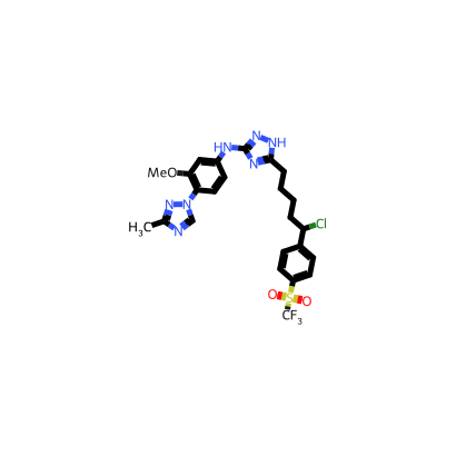 COc1cc(Nc2n[nH]c(CCCCC(Cl)c3ccc(S(=O)(=O)C(F)(F)F)cc3)n2)ccc1-n1cnc(C)n1